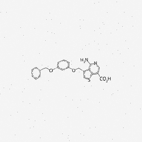 Nc1ncc(C(=O)O)c2scc(COc3cccc(OCc4ccccc4)c3)c12